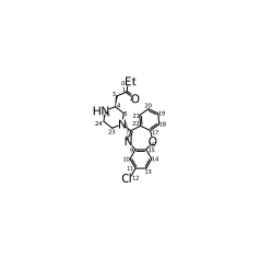 CCC(=O)C[C@H]1CN(C2=Nc3cc(Cl)ccc3Oc3ccccc32)CCN1